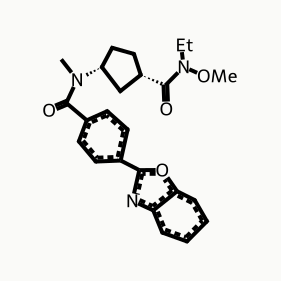 CCN(OC)C(=O)[C@H]1CC[C@@H](N(C)C(=O)c2ccc(-c3nc4ccccc4o3)cc2)C1